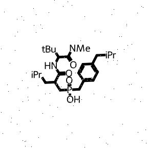 CNC(=O)C(NC(=O)C(CC(C)C)CP(=O)(O)Cc1ccc(CC(C)C)cc1)C(C)(C)C